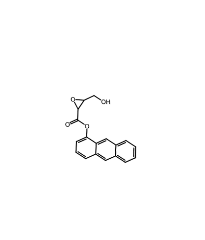 O=C(Oc1cccc2cc3ccccc3cc12)C1OC1CO